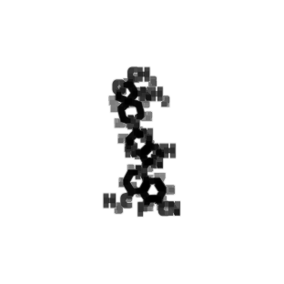 CC1CCN(c2n[nH]c3nc(N4CCC5(CC4)CO[C@@H](C)[C@H]5N)cnc23)c2ccc(C#N)c(F)c21